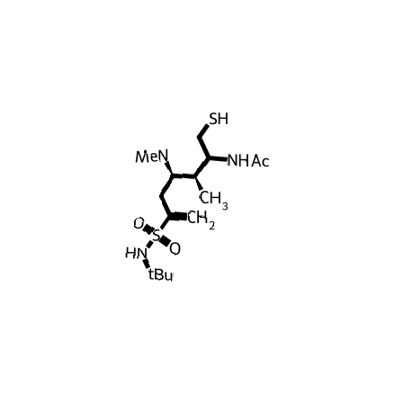 C=C(C[C@@H](NC)[C@H](C)C(CS)NC(C)=O)S(=O)(=O)NC(C)(C)C